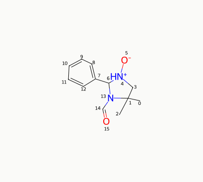 CC1(C)C[NH+]([O-])C(c2ccccc2)N1C=O